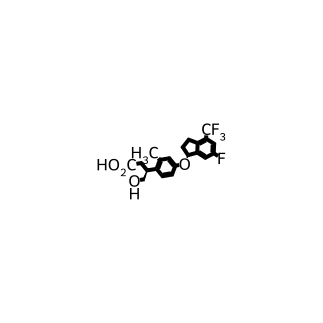 Cc1cc(O[C@@H]2CCc3c2cc(F)cc3C(F)(F)F)ccc1[C@@H](CO)CC(=O)O